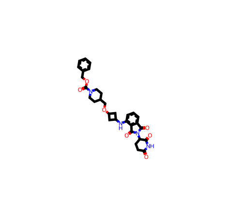 O=C1CCC(N2C(=O)c3cccc(NC4CC(OCC5CCN(C(=O)OCc6ccccc6)CC5)C4)c3C2=O)C(=O)N1